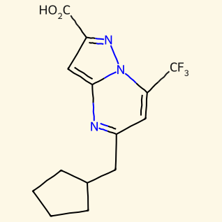 O=C(O)c1cc2nc(CC3CCCC3)cc(C(F)(F)F)n2n1